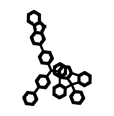 c1ccc(-c2ccc(N(c3ccc(-c4ccc5c(c4)oc4ccccc45)cc3)c3ccc4c(c3)C(c3ccccc3)(c3ccccc3-c3ccccc3)c3ccccc3-4)cc2)cc1